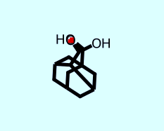 O=C(O)C12CC3CC(C1)C(CO)C(C3)C2